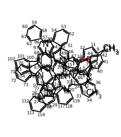 Cc1ccc2c(c1)c1cc(C)ccc1n2-c1ccccc1-c1nc(-c2ccccc2)nc(-c2ccccc2-n2c3ccc(C)cc3c3cc(Cc4ccccc4N(c4ccccc4)c4ccc5c(c4)c4ccccc4n5-c4ccccc4-c4nc(-c5ccccc5)nc(-c5ccccc5-n5c6ccccc6c6cc(N(c7ccccc7)c7ccccc7)ccc65)n4)ccc32)n1